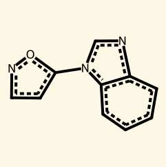 c1ccc2c(c1)ncn2-c1ccno1